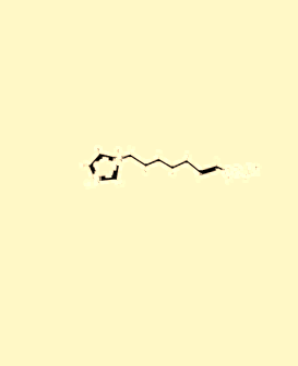 CCOC(=O)C=CCCCCCn1ccnc1